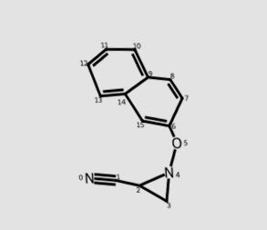 N#CC1CN1Oc1ccc2ccccc2c1